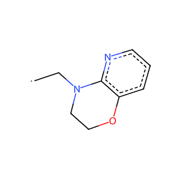 [CH2]CN1CCOc2cccnc21